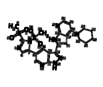 CS(=O)(=O)c1ncc(-c2cnc3[nH]nc(-c4cc5c(N6CCCCC6)ccnc5[nH]4)c3c2)n1S(C)(=O)=O